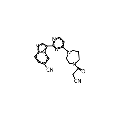 N#CCC(=O)N1CCCN(c2ccnc(-c3cnc4ccc(C#N)cn34)n2)CC1